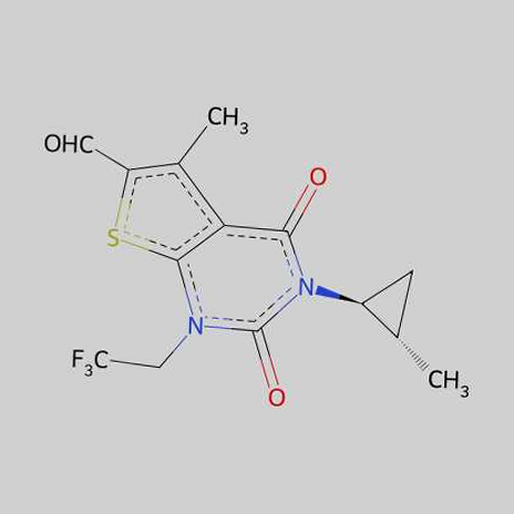 Cc1c(C=O)sc2c1c(=O)n([C@H]1C[C@@H]1C)c(=O)n2CC(F)(F)F